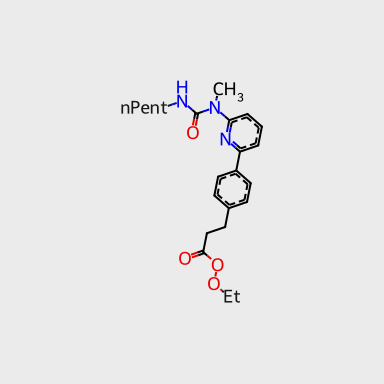 CCCCCNC(=O)N(C)c1cccc(-c2ccc(CCC(=O)OOCC)cc2)n1